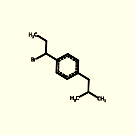 CCC(Br)c1ccc(CC(C)C)cc1